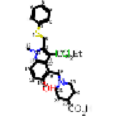 CCOC(=O)c1c(CSc2ccccc2)n(C)c2ccc(O)c(CN3CCC(C(=O)O)CC3)c12.Cl